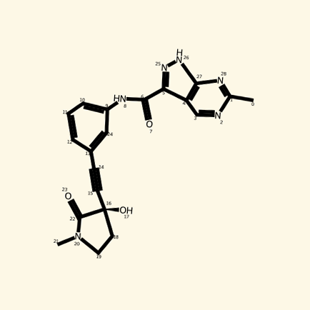 Cc1ncc2c(C(=O)Nc3cccc(C#C[C@]4(O)CCN(C)C4=O)c3)n[nH]c2n1